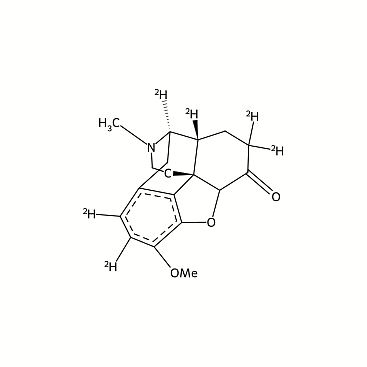 [2H]c1c([2H])c(OC)c2c3c1C[C@@]1([2H])N(C)CC[C@@]34C(O2)C(=O)C([2H])([2H])C[C@]41[2H]